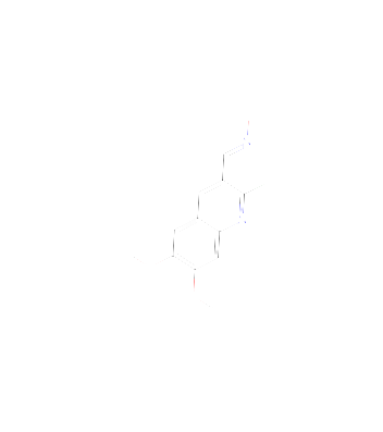 COc1cc2cc(/C=N/O)c(Cl)nc2cc1OC